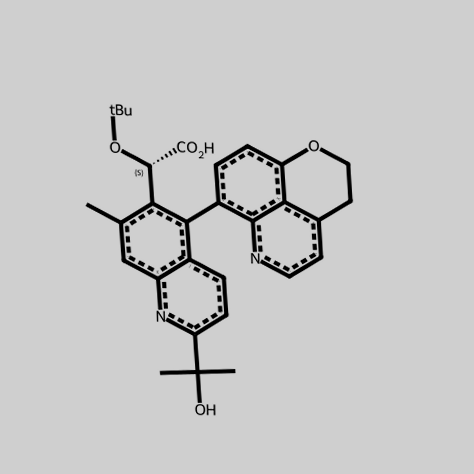 Cc1cc2nc(C(C)(C)O)ccc2c(-c2ccc3c4c(ccnc24)CCO3)c1[C@H](OC(C)(C)C)C(=O)O